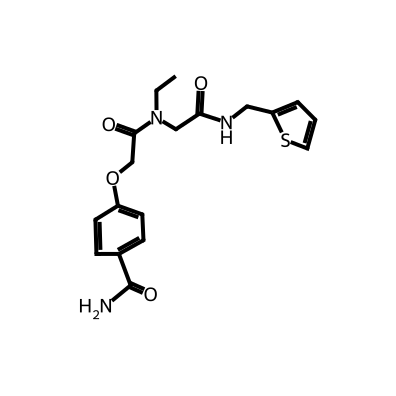 CCN(CC(=O)NCc1cccs1)C(=O)COc1ccc(C(N)=O)cc1